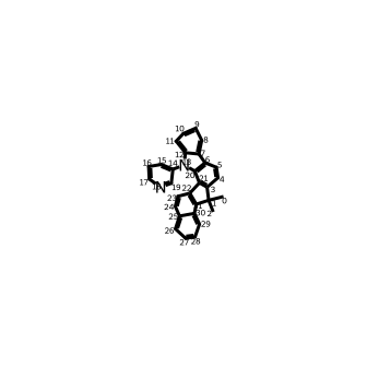 CC1(C)c2ccc3c4ccccc4n(-c4cccnc4)c3c2-c2ccc3ccccc3c21